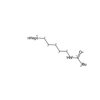 CCCCCCCCCCCCNC(=O)C(C)CC